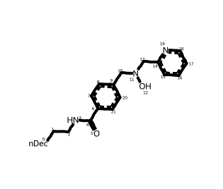 CCCCCCCCCCCCNC(=O)c1ccc(CN(O)Cc2ccccn2)cc1